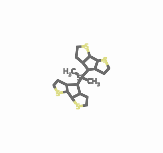 C[Si](C)(C1C2CCSC2C2SCCC21)C1C2CCSC2C2SCCC21